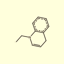 [CH2]CN1[C]=CCc2ccccc21